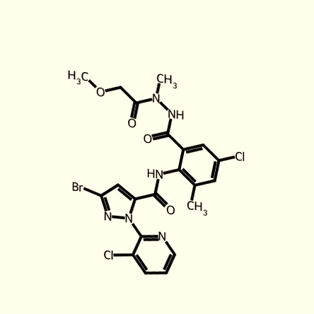 COCC(=O)N(C)NC(=O)c1cc(Cl)cc(C)c1NC(=O)c1cc(Br)nn1-c1ncccc1Cl